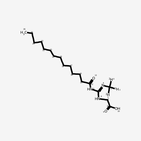 [2H]C([2H])([2H])N=C(NCC(=O)O)NC(=O)CCCCCCCCCCCCC